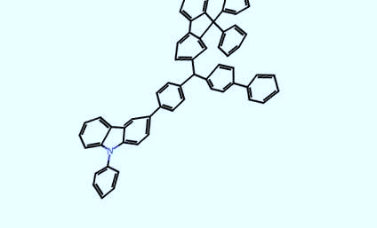 c1ccc(-c2ccc(C(c3ccc(-c4ccc5c(c4)c4ccccc4n5-c4ccccc4)cc3)c3ccc4c(c3)C(c3ccccc3)(c3ccccc3)c3ccccc3-4)cc2)cc1